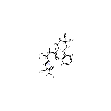 CC(/C=C/S(C)(=O)=O)NC(=O)N1CCC(F)(F)C[C@H]1c1ccccc1